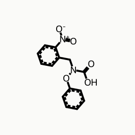 O=C(O)N(Cc1ccccc1[N+](=O)[O-])Oc1ccccc1